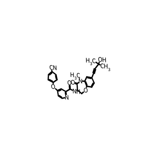 CN1C(=O)[C@H](NC(=O)c2cc(Oc3ccc(C#N)cc3)ccn2)COc2ccc(C#CC(C)(C)O)cc21